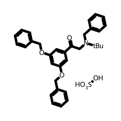 CC(C)(C)N(CC(=O)c1cc(OCc2ccccc2)cc(OCc2ccccc2)c1)Cc1ccccc1.O=S(=O)(O)O